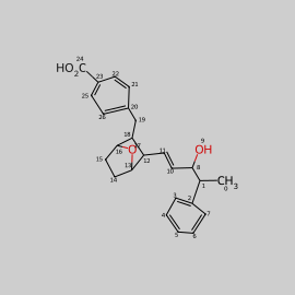 CC(c1ccccc1)C(O)C=CC1C2CCC(O2)C1Cc1ccc(C(=O)O)cc1